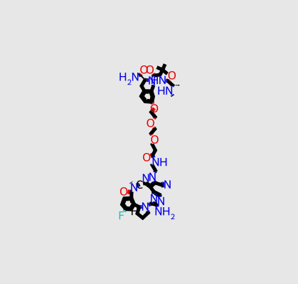 CN[C@@H](C)C(=O)N[C@H](C(=O)N1Cc2cc(OCCOCCOCCC(=O)NCCn3nc4c(c3C#N)-c3cnc(N)c(n3)N3CCC[C@@H]3c3cc(F)ccc3C(=O)N(C)C4)ccc2C[C@H]1C(N)=O)C(C)(C)C